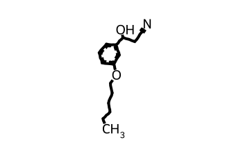 CCCCCCOc1cccc(C(O)CC#N)c1